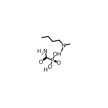 CCCCN(C)C.NC(=O)P(=O)([O-])O.[H+]